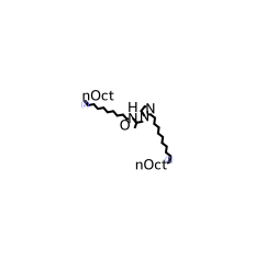 CCCCCCCC/C=C\CCCCCCCCC1=NCCN1CC(C)NC(=O)CCCCCCC/C=C\CCCCCCCC